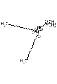 C=C(C)C(=O)OCCCB1OCC(COC(=O)CCCCCCCCCCCCCCCCC)(COC(=O)CCCCCCCCCCCCCCCCC)CO1